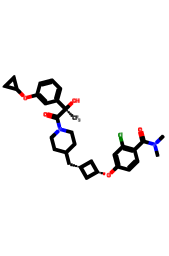 CN(C)C(=O)c1ccc(O[C@H]2C[C@@H](CC3CCN(C(=O)[C@](O)(c4cccc(OC5CC5)c4)C(F)(F)F)CC3)C2)cc1Cl